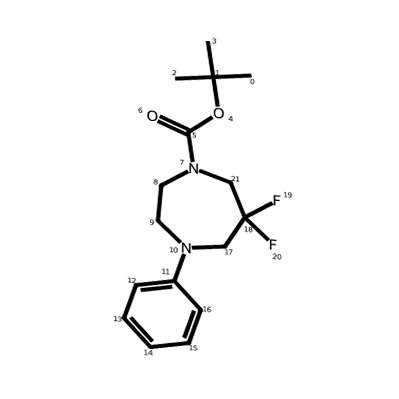 CC(C)(C)OC(=O)N1CCN(c2ccccc2)CC(F)(F)C1